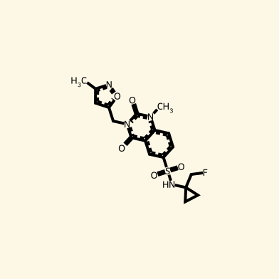 Cc1cc(Cn2c(=O)c3cc(S(=O)(=O)NC4(CF)CC4)ccc3n(C)c2=O)on1